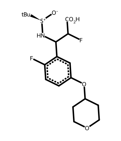 CC(C)(C)[S@@+]([O-])NC(c1cc(OC2CCOCC2)ccc1F)C(F)C(=O)O